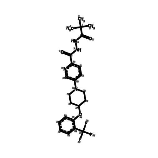 CC(C)(C)C(=O)NNC(=O)c1ccc(N2CCC(Oc3ccccc3C(F)(F)F)CC2)nn1